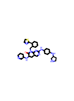 O=c1c(Nc2cccnc2)cc2cnc(Nc3ccc(NC4CCNC4)cc3)nc2n1Cc1ccccc1-c1nccs1